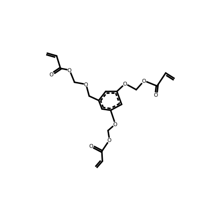 C=CC(=O)OCOCc1cc(OCOC(=O)C=C)cc(OCOC(=O)C=C)c1